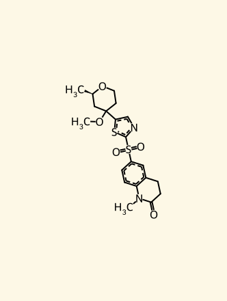 COC1(c2cnc(S(=O)(=O)c3ccc4c(c3)CCC(=O)N4C)s2)CCO[C@H](C)C1